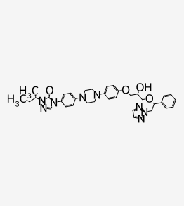 CC[C@@H](C)n1ncn(-c2ccc(N3CCN(c4ccc(OC[C@@H](O)COC(Cn5nccn5)c5ccccc5)cc4)CC3)cc2)c1=O